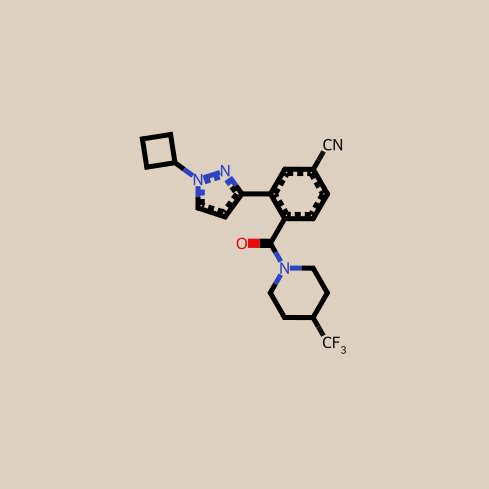 N#Cc1ccc(C(=O)N2CCC(C(F)(F)F)CC2)c(-c2ccn(C3CCC3)n2)c1